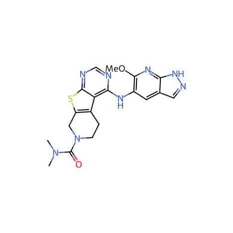 COc1nc2[nH]ncc2cc1Nc1ncnc2sc3c(c12)CCN(C(=O)N(C)C)C3